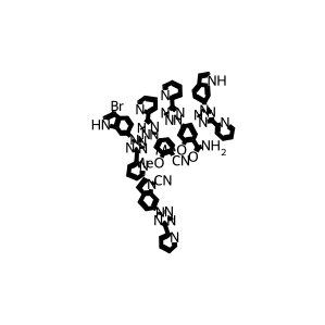 Brc1c[nH]c2cc(-n3nnc(-c4ccccn4)n3)ccc12.COc1cc(-n2nnc(-c3ccccn3)n2)ccc1C#N.COc1cc(-n2nnc(-c3ccccn3)n2)ccc1C(N)=O.N#Cn1ccc2ccc(-n3nnc(-c4ccccn4)n3)cc21.c1ccc(-c2nnn(-c3ccc4cc[nH]c4c3)n2)nc1